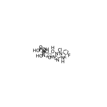 C[C@H](Nc1nc(Cl)nc2c1ncn2[C@@H]1O[C@H](CN(O)P(C)(=O)CP(=O)(O)O)C(O)C1O)c1ccccc1F